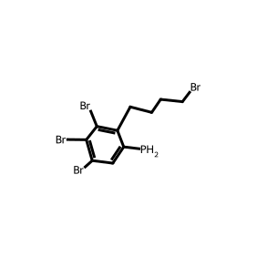 Pc1cc(Br)c(Br)c(Br)c1CCCCBr